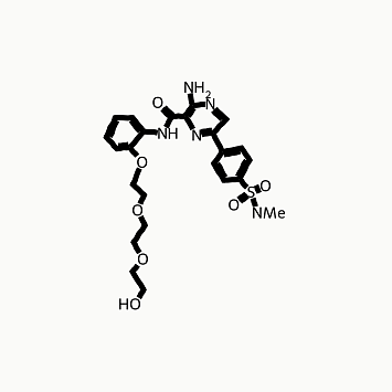 CNS(=O)(=O)c1ccc(-c2cnc(N)c(C(=O)Nc3ccccc3OCCOCCOCCO)n2)cc1